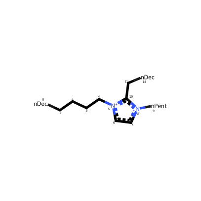 CCCCCCCCCCCCCC[n+]1ccn(CCCCC)c1CCCCCCCCCCC